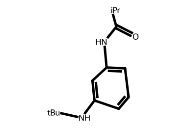 CC(C)C(=O)Nc1cccc(NC(C)(C)C)c1